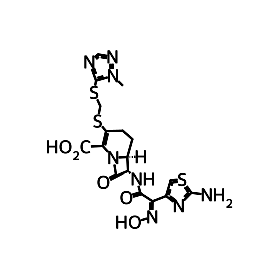 Cn1ncnc1SCSC1=C(C(=O)O)N2C(=O)[C@@H](NC(=O)/C(=N\O)c3csc(N)n3)[C@@H]2CC1